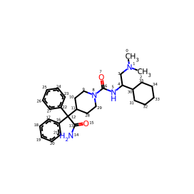 CN(C)CC(NC(=O)N1CCC(C(C(N)=O)(c2ccccc2)c2ccccc2)CC1)C1CCCCC1